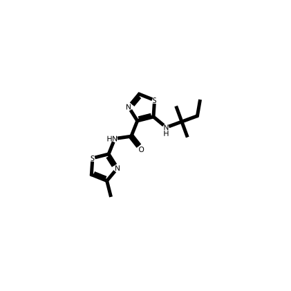 CCC(C)(C)Nc1scnc1C(=O)Nc1nc(C)cs1